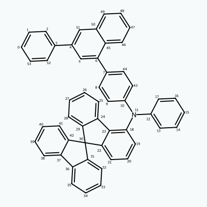 c1ccc(-c2cc(-c3ccc(N(c4ccccc4)c4cccc5c4-c4ccccc4C54c5ccccc5-c5ccccc54)cc3)c3ccccc3c2)cc1